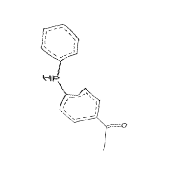 CC(=O)c1ccc(Pc2ccccc2)cc1